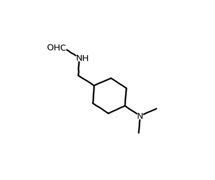 CN(C)C1CCC(CNC=O)CC1